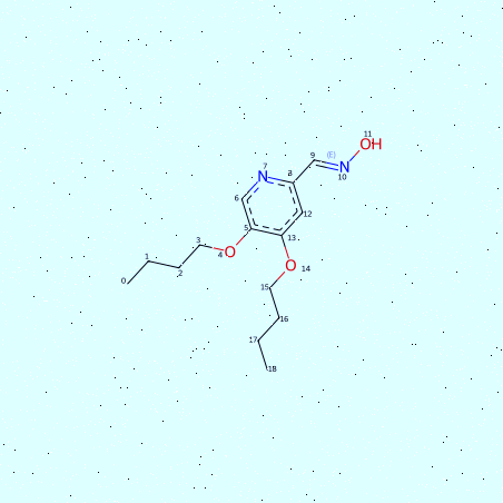 CCCCOc1cnc(/C=N/O)cc1OCCCC